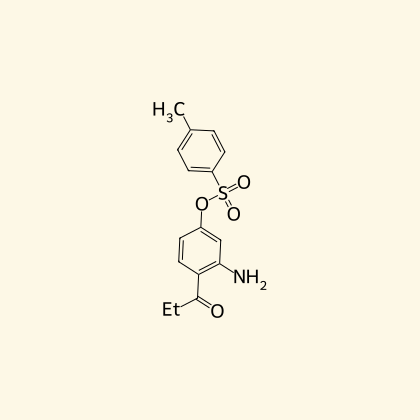 CCC(=O)c1ccc(OS(=O)(=O)c2ccc(C)cc2)cc1N